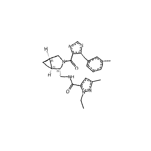 CCn1nc(C)cc1C(=O)NC[C@@H]1[C@H]2C[C@H]2CN1C(=O)c1ncsc1-c1cccc(C)c1